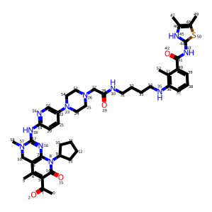 CC(=O)c1c(C)c2c(n(C3CCCC3)c1=O)N=C(Nc1ccc(N3CCN(CC(=O)NCCCCNc4cccc(C(=O)NC5NC(C)=C(C)S5)c4C)CC3)cn1)N(C)C2